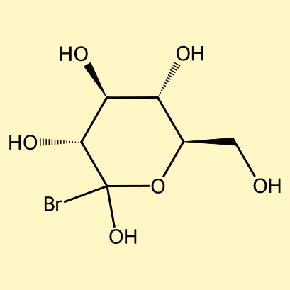 OC[C@H]1OC(O)(Br)[C@H](O)[C@@H](O)[C@@H]1O